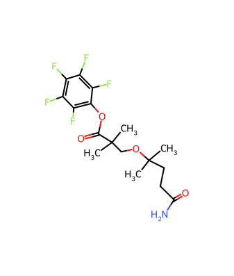 CC(C)(CCC(N)=O)OCC(C)(C)C(=O)Oc1c(F)c(F)c(F)c(F)c1F